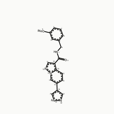 COc1cccc(CNC(=O)c2cnn3cc(-c4cn[nH]c4)ccc23)c1